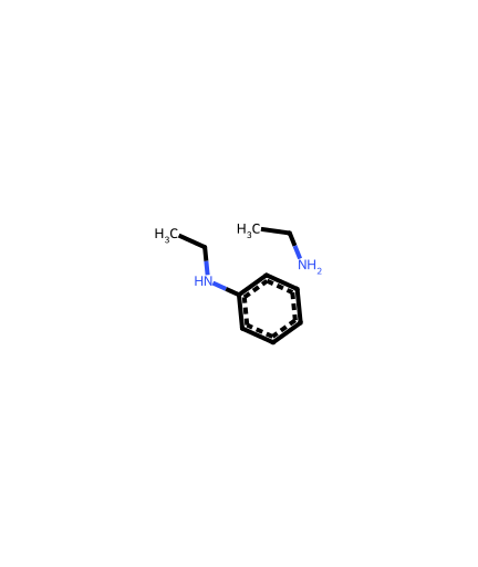 CCN.CCNc1ccccc1